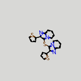 c1csc(-c2nc3ccccn3c2Sc2c(-c3cccs3)nc3ccccn23)c1